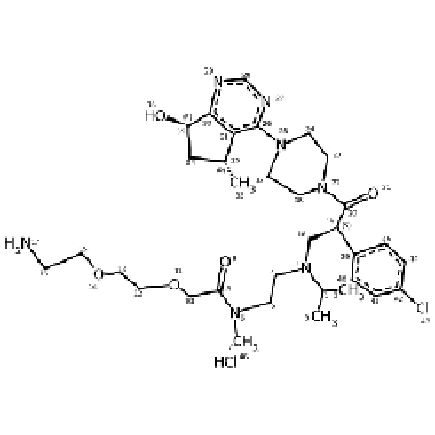 CC(C)N(CCN(C)C(=O)COCCOCCN)C[C@@H](C(=O)N1CCN(c2ncnc3c2[C@H](C)C[C@H]3O)CC1)c1ccc(Cl)cc1.Cl